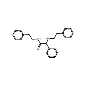 O=C(NCCc1ccncc1)C(NCCc1ccncc1)c1ccccc1